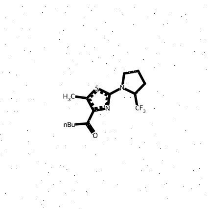 CCCCC(=O)c1nc(N2CCCC2C(F)(F)F)sc1C